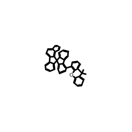 CC1(C)c2ccccc2Oc2c(-c3cccc4c3-c3ccccc3C43c4ccccc4-c4ccc5ccccc5c43)cccc21